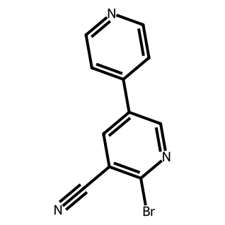 N#Cc1cc(-c2ccncc2)cnc1Br